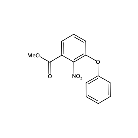 COC(=O)c1cccc(Oc2ccccc2)c1[N+](=O)[O-]